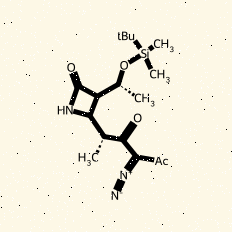 CC(=O)C(=[N+]=[N-])C(=O)[C@H](C)C1NC(=O)C1[C@@H](C)O[Si](C)(C)C(C)(C)C